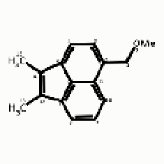 COCc1ccc2c3c(cccc13)C(C)=C2C